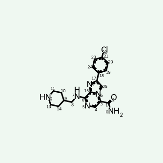 NC(=O)c1cnc(NCC2CCNCC2)c2nc(-c3ccc(Cl)cc3)cn12